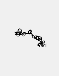 CC(C)(C)OC(=O)CCOCCc1cccc(CCN2CCC3(CC2)CN(c2ccc[nH]c2=O)CCO3)c1